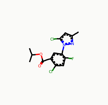 Cc1cc(Cl)n(-c2cc(C(=O)OC(C)C)c(Cl)cc2F)n1